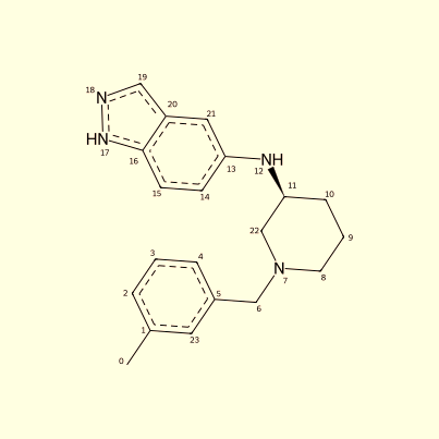 Cc1cccc(CN2CCC[C@H](Nc3ccc4[nH]ncc4c3)C2)c1